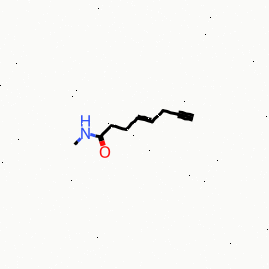 C#CCC=CCCC(=O)NC